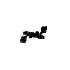 CCCCC(CCCCC(=O)OO)NC(=O)c1ccc(C(=O)NC(CCCC)CCCCC(=O)OO)cc1